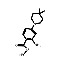 CCCOC(=O)c1ccc(N2CCC(F)(F)CC2)cc1N